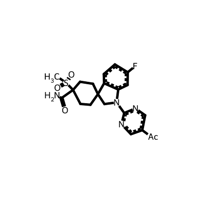 CC(=O)c1cnc(N2CC3(CCC(C(N)=O)(S(C)(=O)=O)CC3)c3ccc(F)cc32)nc1